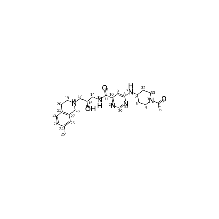 CC(=O)N1CCC(Nc2cc(C(=O)NCC(O)CN3CCc4ccc(C)cc4C3)ncn2)CC1